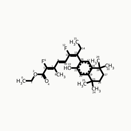 CCOC(=O)/C(F)=C(C)/C=C/C(F)=C(/CC)c1cc2c(cc1O)C(C)(C)CCC2(C)C